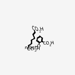 CCCCCCCCOc1ccccc1C(=O)O.O=C(O)CCCCCCC(=O)O